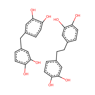 Oc1ccc(CCc2ccc(O)c(O)c2)cc1O.Oc1ccc(Cc2ccc(O)c(O)c2)cc1O